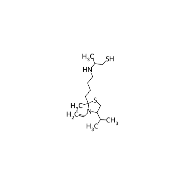 C=CN1C(C(C)C)CSC1(C)CCCCNC(C)CS